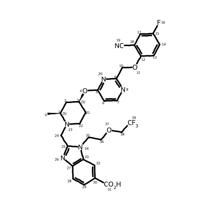 C[C@H]1C[C@@H](Oc2ccnc(COc3ccc(F)cc3C#N)n2)CCN1Cc1nc2ccc(C(=O)O)cc2n1CCOCC(F)(F)F